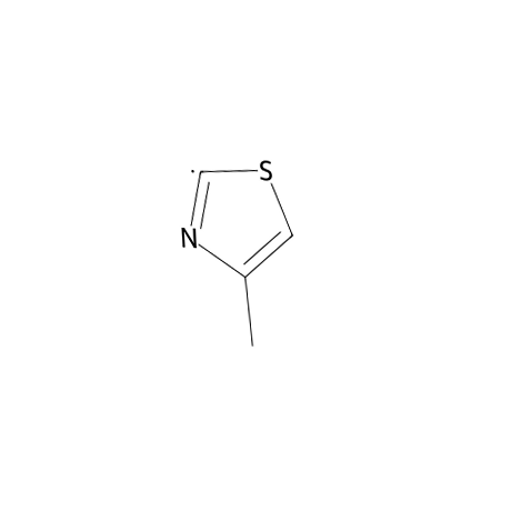 Cc1cs[c]n1